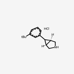 CC(C)(C)c1cccc(C2[C@H]3CNC[C@@H]23)c1.Cl